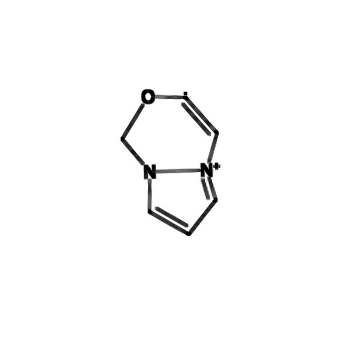 [C]1=C[n+]2cccn2CO1